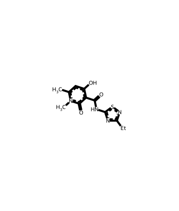 CCc1nsc(NC(=O)c2c(O)cc(C)n(C)c2=O)n1